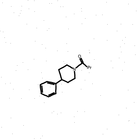 CC(C)C(=O)N1CCC(c2cc[c]cc2)CC1